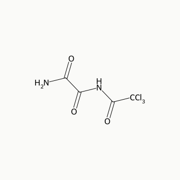 NC(=O)C(=O)NC(=O)C(Cl)(Cl)Cl